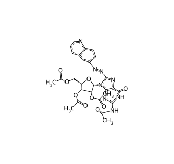 CC(=O)Nc1nc2c(nc(/N=N/c3ccc4ncccc4c3)n2[C@@H]2O[C@H](COC(C)=O)C(OC(C)=O)[C@@H]2OC(C)=O)c(=O)[nH]1